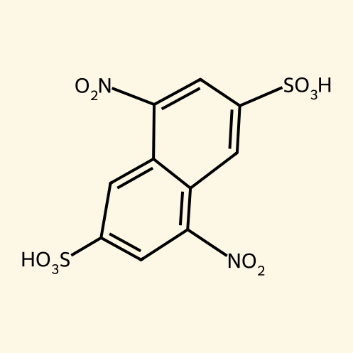 O=[N+]([O-])c1cc(S(=O)(=O)O)cc2c([N+](=O)[O-])cc(S(=O)(=O)O)cc12